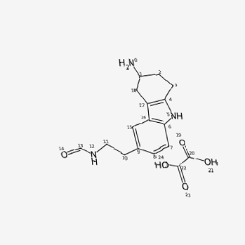 NC1CCc2[nH]c3ccc(CCNC=O)cc3c2C1.O=C(O)C(=O)O